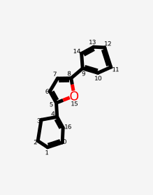 C1=CCCC(c2ccc(-c3ccccc3)o2)=C1